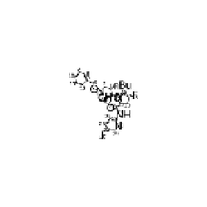 CCCC[C@H](CN(C=O)OCc1ccccc1)C(=O)N1C[C@H](F)CC1C(=O)Nc1ccc(F)cn1